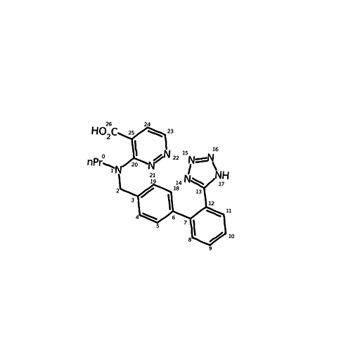 CCCN(Cc1ccc(-c2ccccc2-c2nnn[nH]2)cc1)c1nnccc1C(=O)O